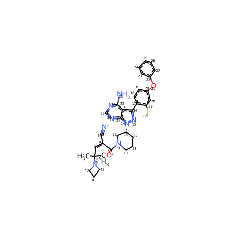 CC(C)(/C=C(/C#N)C(=O)N1CCC[C@@H](n2nc(-c3ccc(Oc4ccccc4)cc3F)c3c(N)ncnc32)C1)N1CCC1